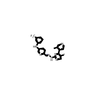 Cc1cnccc1-c1nc(N/N=C/c2ccc(Nc3cccc(C(F)(F)F)c3)cn2)ncc1F